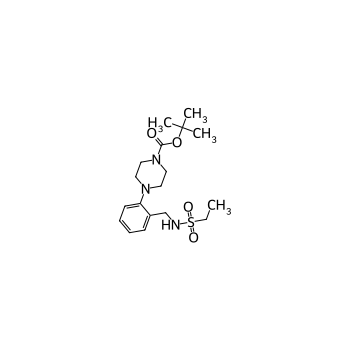 CCS(=O)(=O)NCc1ccccc1N1CCN(C(=O)OC(C)(C)C)CC1